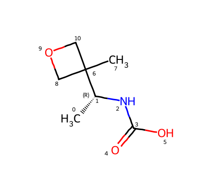 C[C@@H](NC(=O)O)C1(C)COC1